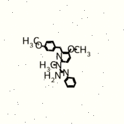 COc1ccc(Cc2nc(N(C)C(N)=Nc3ccccc3)ccc2OC)cc1